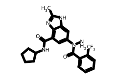 Cc1nc2c(C(=O)NC3CCCC3)cc(N(N)C(=O)c3ccccc3C(F)(F)F)cc2[nH]1